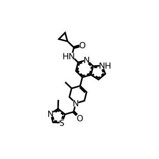 Cc1ncsc1C(=O)N1CC=C(c2cc(NC(=O)C3CC3)nc3[nH]ccc23)C(C)C1